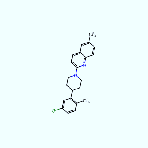 FC(F)(F)c1ccc2nc(N3CCC(c4cc(Cl)ccc4C(F)(F)F)CC3)ccc2c1